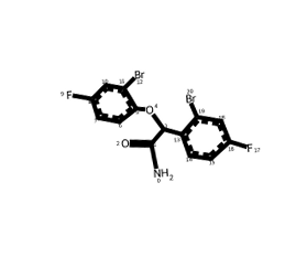 NC(=O)C(Oc1ccc(F)cc1Br)c1ccc(F)cc1Br